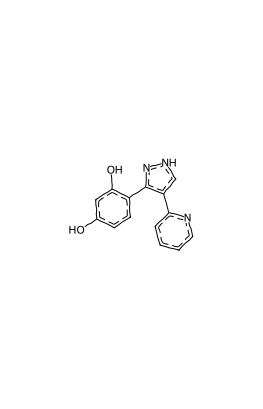 Oc1ccc(-c2n[nH]cc2-c2ccccn2)c(O)c1